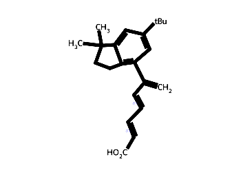 C=C(/C=C/C=C/C(=O)O)c1cc(C(C)(C)C)cc2c1CCC2(C)C